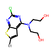 CCc1cc2c(N(CCO)CCO)nc(Cl)nc2s1